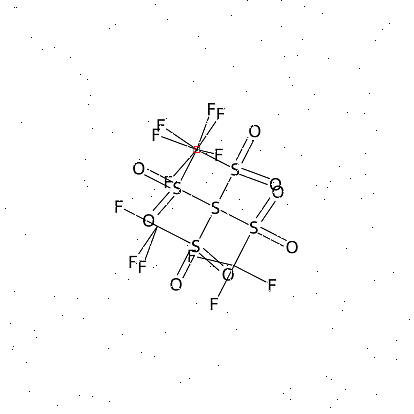 O=S(=O)(C(F)(F)F)S(S(=O)(=O)C(F)(F)F)(S(=O)(=O)C(F)(F)F)S(=O)(=O)C(F)(F)F